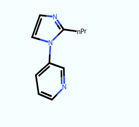 CCCc1nccn1-c1cccnc1